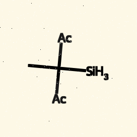 CC(=O)C(C)([SiH3])C(C)=O